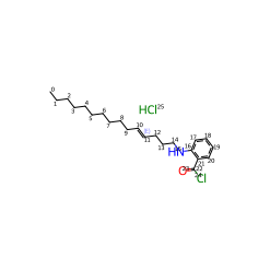 CCCCCCCCCC/C=C/CCCNc1ccccc1C(=O)Cl.Cl